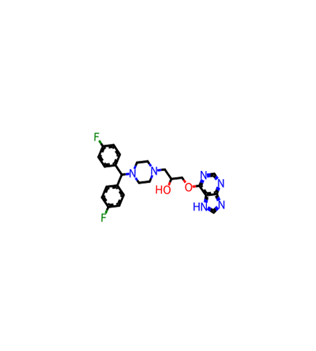 OC(COc1ncnc2nc[nH]c12)CN1CCN(C(c2ccc(F)cc2)c2ccc(F)cc2)CC1